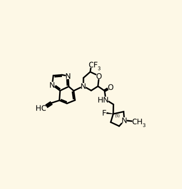 C#Cc1ccc(N2CC(C(=O)NC[C@@]3(F)CCN(C)C3)OC(C(F)(F)F)C2)c2nccnc12